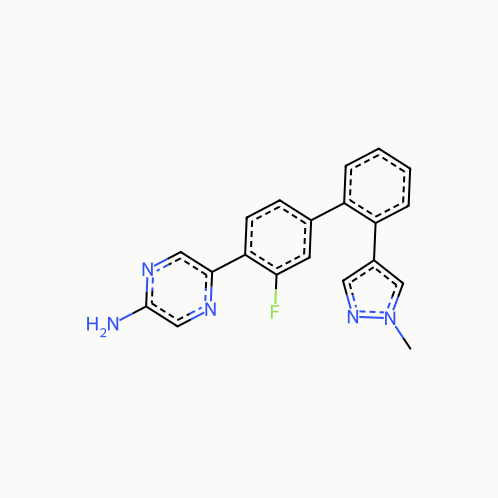 Cn1cc(-c2ccccc2-c2ccc(-c3cnc(N)cn3)c(F)c2)cn1